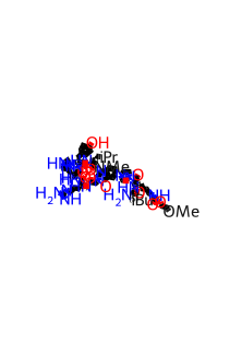 CC[C@H](C)[C@H](N)C(=O)N[C@@H](CCCCNC(=O)OCCOC)C(=O)N1CCN(c2ccc3ncn(CC(=O)N[C@@H](CCCNC(=N)N)C(=O)N[C@@H](Cc4c[nH]cn4)C(=O)N[C@@H](Cc4ccc(O)cc4)C(=O)N[C@@H](CC(C)C)C(=O)NC)c(=O)c3c2)CC1